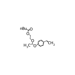 C=Cc1ccc(OC(C)OCCOC(=O)CCCC)cc1